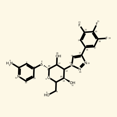 Nc1cc(S[C@H]2OC(CO)[C@H](O)C(n3cc(-c4cc(F)c(F)c(F)c4)nn3)C2O)ccn1